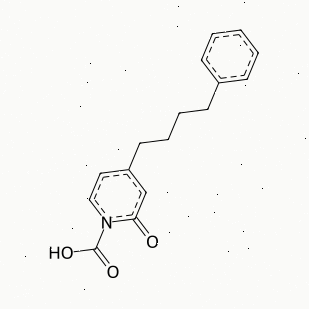 O=C(O)n1ccc(CCCCc2ccccc2)cc1=O